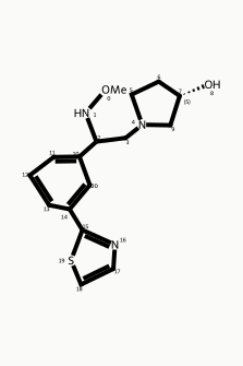 CONC(CN1CC[C@H](O)C1)c1cccc(-c2nccs2)c1